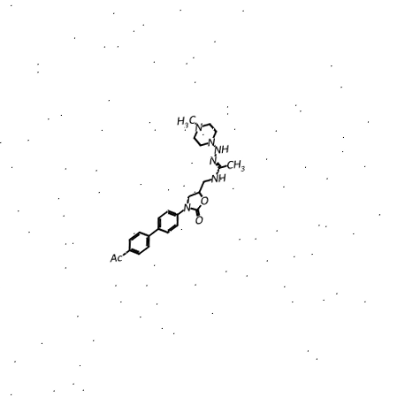 CC(=O)c1ccc(-c2ccc(N3CC(CNC(C)=NNN4CCN(C)CC4)OC3=O)cc2)cc1